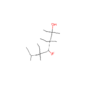 CC(C)C(C)(C)C(O)C(C)(C)C(C)(C)O